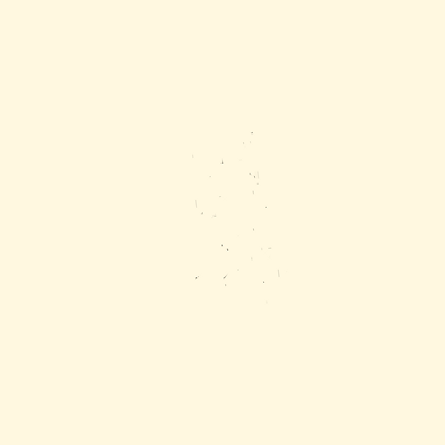 CO[C@@H]1C[C@H]([C@H](O)C(F)(F)F)N(c2ccc3[nH]c(=O)cc(C(F)(F)F)c3c2)C1